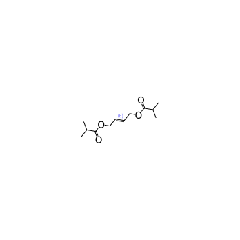 CC(C)C(=O)OC/C=C/COC(=O)C(C)C